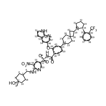 CC1(O)CCC(CNc2ncc(S(=O)(=O)NC(=O)c3ccc(N4CCC5(CC4)CC(N4CCC[C@H]4c4ccccc4C(F)(F)F)C5)cc3Oc3cnc4[nH]ccc4c3)cc2[N+](=O)[O-])CC1